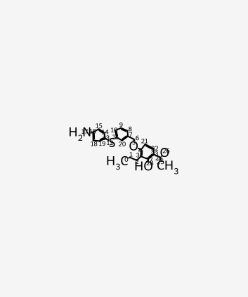 CCCc1c(OCc2cccc(Sc3ccc(N)cc3)c2)ccc(C(C)=O)c1O